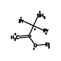 C=C(OCC)C([SiH3])(C(C)C)C(C)C